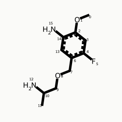 COc1cc(F)c(COCC(C)N)cc1N